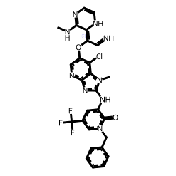 CNC1=NC=CN/C1=C(\C=N)Oc1cnc2nc(Nc3cc(C(F)(F)F)cn(Cc4ccccc4)c3=O)n(C)c2c1Cl